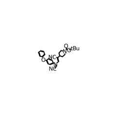 CC(C)(C)OC(=O)N1CCC(/C(C#N)=C/N(CC#N)c2ccc(Oc3ccccc3)cc2)CC1